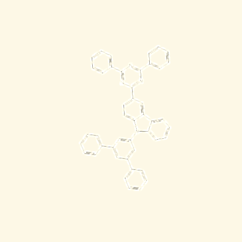 c1ccc(-c2cc(-c3ccccc3)cc(-n3c4ccccc4c4cc(-c5nc(-c6ccccc6)nc(-c6ccccc6)n5)ccc43)c2)cc1